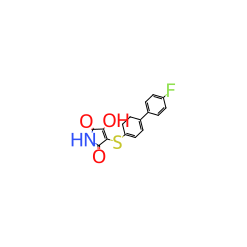 O=C1NC(=O)C(SC2=CC=C(c3ccc(F)cc3)CC2)=C1O